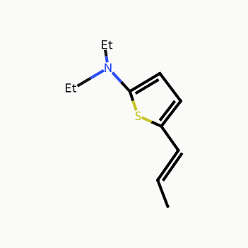 C/C=C/c1ccc(N(CC)CC)s1